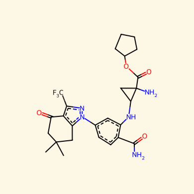 CC1(C)CC(=O)c2c(C(F)(F)F)nn(-c3ccc(C(N)=O)c(NC4CC4(N)C(=O)OC4CCCC4)c3)c2C1